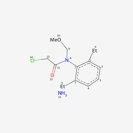 CCc1cccc(CC)c1N(COC)C(=O)CCl.N